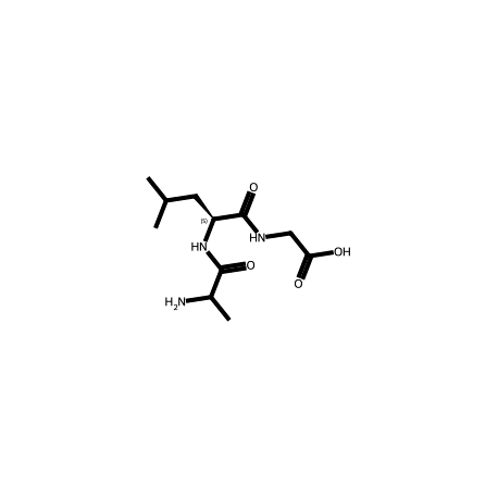 CC(C)C[C@H](NC(=O)C(C)N)C(=O)NCC(=O)O